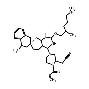 C=CC(=O)N1CCN(C2NC(OCC(C)CCCNC)NC3C[C@@]4(CCC32)Cc2ccccc2C(C)C4)CC1CC#N